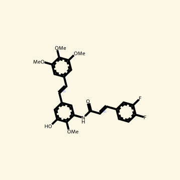 COc1cc(/C=C/c2cc(O)c(OC)c(NC(=O)/C=C/c3ccc(F)c(F)c3)c2)cc(OC)c1OC